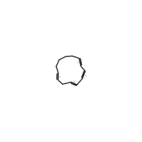 [CH]1/C=C/C/C=C/C=C\C=C\CCC1